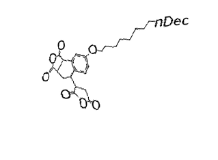 CCCCCCCCCCCCCCCCCCOc1ccc2c(c1)C1C(=O)OC(=O)C1CC2C1CC(=O)OC1=O